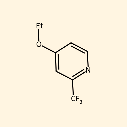 CCOc1ccnc(C(F)(F)F)c1